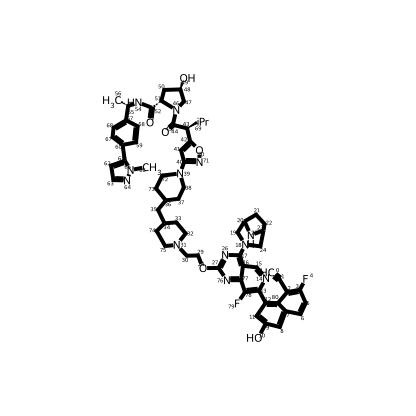 C#Cc1c(F)ccc2cc(O)cc(-c3ncc4c(N5CC6CCC(C5)N6)nc(OCCN5CCC(CC6CCN(c7cc([C@@H](C(=O)N8C[C@H](O)C[C@H]8C(=O)N[C@@H](C)c8ccc(-c9ccnn9C)cc8)C(C)C)on7)CC6)CC5)nc4c3F)c12